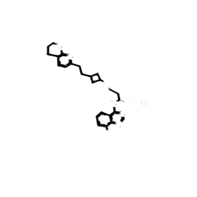 O=C(O)[C@H](CCOC1CC(CCc2ccc3c(n2)NCCC3)C1)Nc1ncnc2c(F)cccc12